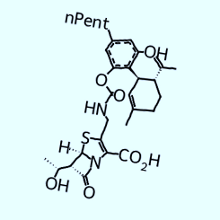 C=C(C)[C@@H]1CCC(C)=C[C@H]1c1c(O)cc(CCCCC)cc1OC(=O)NCC1=C(C(=O)O)N2C(=O)[C@H]([C@@H](C)O)[C@H]2S1